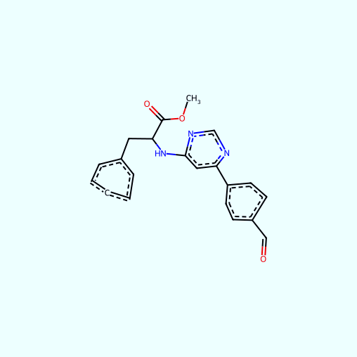 COC(=O)C(Cc1ccccc1)Nc1cc(-c2ccc(C=O)cc2)ncn1